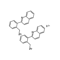 CC(C)Cc1ccccc1-c1ccc2ccccc2n1.CC(C)Cc1ccccc1-c1ccc2ccccc2n1.[Ir+3]